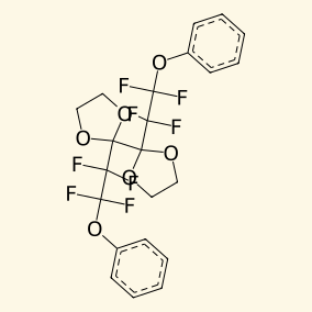 FC(F)(Oc1ccccc1)C(F)(F)C1(C2(C(F)(F)C(F)(F)Oc3ccccc3)OCCO2)OCCO1